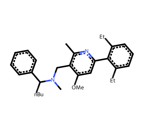 CCCCC(c1ccccc1)N(C)Cc1c(OC)cc(-c2c(CC)cccc2CC)nc1C